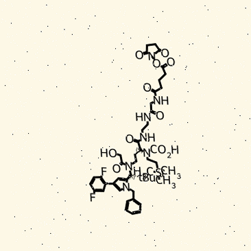 CC(C)(C)[C@H](c1cc(-c2cc(F)ccc2F)cn1Cc1ccccc1)N(CC[C@@H](C(=O)NCCNC(=O)CNC(=O)CCCC(=O)ON1C(=O)CCC1=O)N(CC[Si](C)(C)C)C(=O)O)C(=O)CO